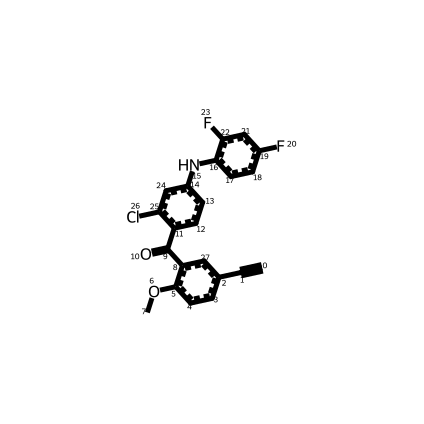 C#Cc1ccc(OC)c(C(=O)c2ccc(Nc3ccc(F)cc3F)cc2Cl)c1